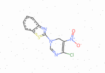 O=[N+]([O-])C1=C(Cl)N=CN(c2nc3ccccc3s2)[CH]1